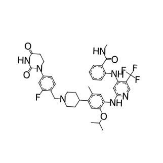 CNC(=O)c1ccccc1Nc1cc(Nc2cc(C)c(C3CCN(Cc4ccc(N5CCC(=O)NC5=O)cc4F)CC3)cc2OC(C)C)ncc1C(F)(F)F